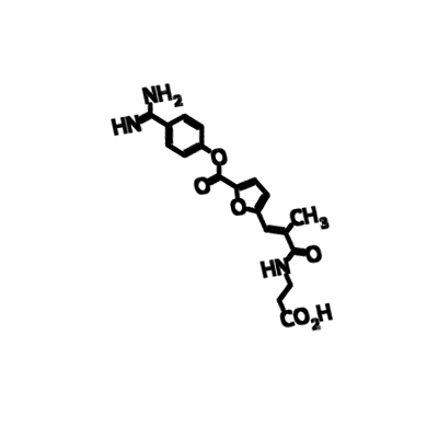 C/C(=C\c1ccc(C(=O)Oc2ccc(C(=N)N)cc2)o1)C(=O)NCCC(=O)O